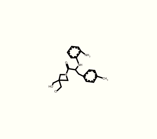 Cc1ccc(CC(Nc2ccccc2N)C(=O)N2CC(CO)(CCl)C2)cc1